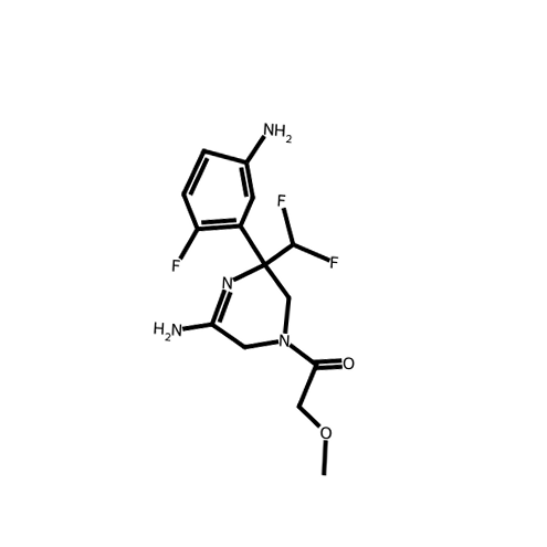 COCC(=O)N1CC(N)=NC(c2cc(N)ccc2F)(C(F)F)C1